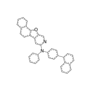 c1ccc(N(c2ccc(-c3cccc4ccccc34)cc2)c2cc3c(cn2)oc2c4ccccc4ccc32)cc1